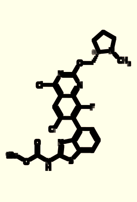 CN1CCC[C@H]1COc1nc(Cl)c2cc(Cl)c(-c3cccc4sc(NC(=O)OC(C)(C)C)nc34)c(F)c2n1